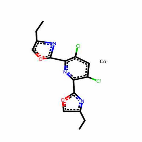 CCc1coc(-c2nc(-c3nc(CC)co3)c(Cl)cc2Cl)n1.[Co]